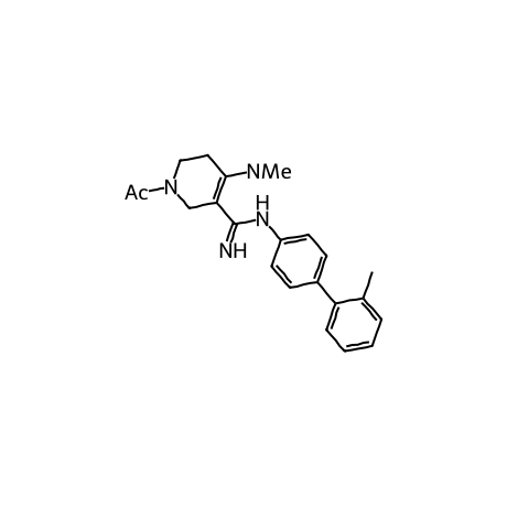 CNC1=C(C(=N)Nc2ccc(-c3ccccc3C)cc2)CN(C(C)=O)CC1